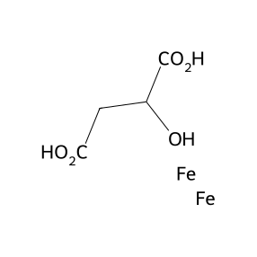 O=C(O)CC(O)C(=O)O.[Fe].[Fe]